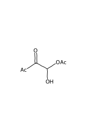 CC(=O)OC(O)C(=O)C(C)=O